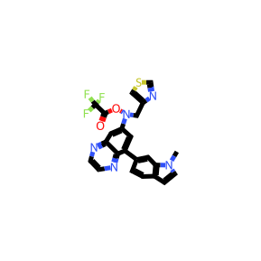 Cn1ccc2ccc(-c3cc(N(Cc4cscn4)OC(=O)C(F)(F)F)cc4nccnc34)cc21